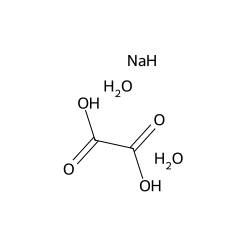 O.O.O=C(O)C(=O)O.[NaH]